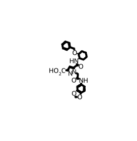 O=C(Cn1nc(C(=O)O)cc1C(=O)N[C@H]1CCCC[C@@H]1OCc1ccccc1)Nc1ccc2c(c1)OCO2